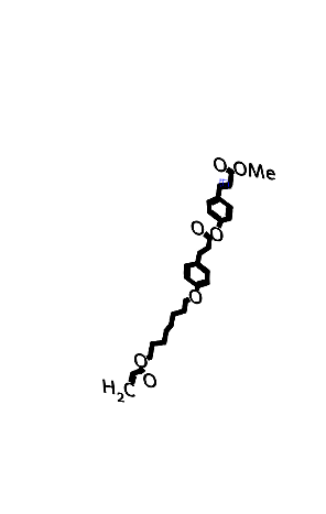 C=CC(=O)OCCCCCCCCOc1ccc(CCC(=O)Oc2ccc(/C=C/C(=O)OC)cc2)cc1